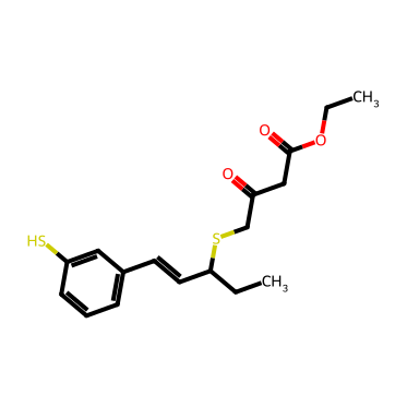 CCOC(=O)CC(=O)CSC(C=Cc1cccc(S)c1)CC